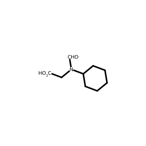 O=[C]N(CC(=O)O)C1CCCCC1